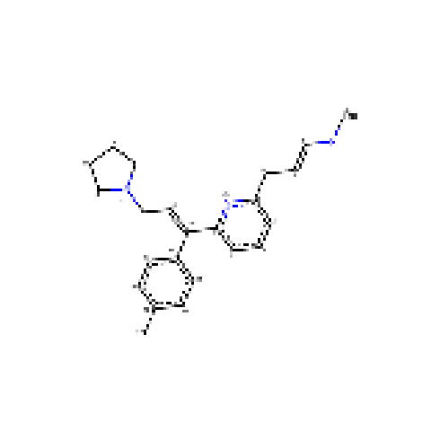 CCC(C)NC=CCc1cccc(C(=CCN2CCCC2)c2ccc(C)cc2)n1